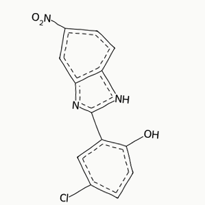 O=[N+]([O-])c1ccc2[nH]c(-c3cc(Cl)ccc3O)nc2c1